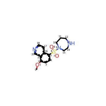 COc1ccc(S(=O)(=O)N2CCCNCC2)c2ccncc12